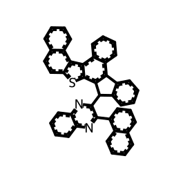 c1ccc2c(c1)-c1c(c3sc4ccc5ccccc5c4c3c3ccccc13)C2c1nc2ccccc2nc1-c1cccc2ccccc12